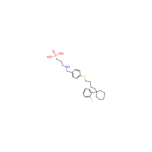 O=P(O)(O)CCCNCc1ccc(SCCCCC2(c3ccccc3F)CCCCC2)cc1